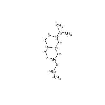 CNCN1CCC2CCN(C(C)C)CC2C1